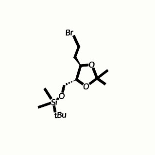 CC1(C)O[C@H](CCBr)[C@@H](CO[Si](C)(C)C(C)(C)C)O1